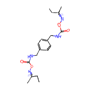 CC/C(C)=N\OC(=O)NCc1ccc(CNC(=O)O/N=C(/C)CC)cc1